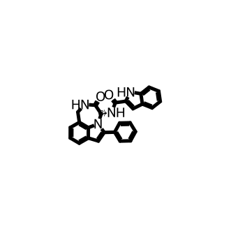 O=C(N[C@H]1C(=O)NCc2cccc3cc(-c4ccccc4)n1c23)c1cc2ccccc2[nH]1